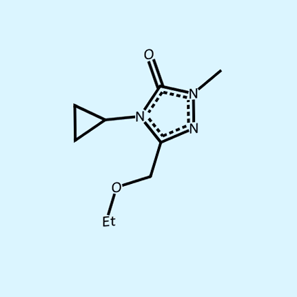 CCOCc1nn(C)c(=O)n1C1CC1